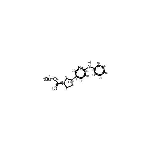 CC(C)(C)OC(=O)N1CC[C@H](c2ccc(Nc3ccccc3)nc2)C1